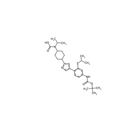 CC(C)Sc1cc(NC(=O)OC(C)(C)C)ccc1-c1cnc(C2CCC(N(C(=O)O)C(C)C)CC2)s1